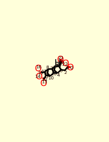 O=C1CC2C3CC(C4C5CC(C6C(=O)OC(=O)C56)C34)[C@@H]2C(=O)O1